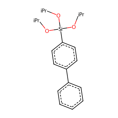 CC(C)O[Si](OC(C)C)(OC(C)C)c1ccc(-c2ccccc2)cc1